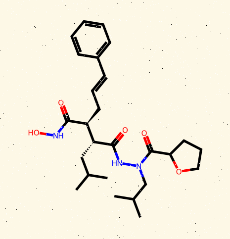 CC(C)C[C@@H](C(=O)NN(CC(C)C)C(=O)C1CCCO1)[C@H](CC=Cc1ccccc1)C(=O)NO